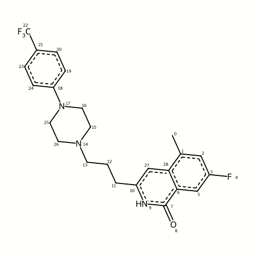 Cc1cc(F)cc2c(=O)[nH]c(CCCN3CCN(c4ccc(C(F)(F)F)cc4)CC3)cc12